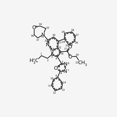 CCCc1c(-c2nnc(-c3ccccc3)o2)c(C(=O)OCC)c2c(-c3ccccc3)cc(N3CCOCC3)nn12